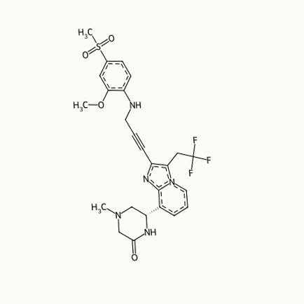 COc1cc(S(C)(=O)=O)ccc1NCC#Cc1nc2c([C@H]3CN(C)CC(=O)N3)cccn2c1CC(F)(F)F